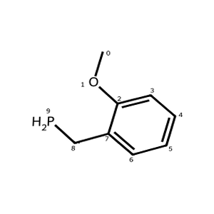 COc1ccccc1[CH]P